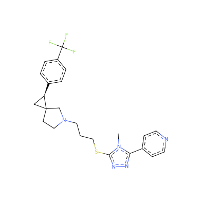 Cn1c(SCCCN2CCC3(C[C@H]3c3ccc(C(F)(F)F)cc3)C2)nnc1-c1ccncc1